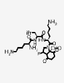 CC(C)C[C@H](NC(=O)[C@@H](N)CCCCN)C(=O)N[C@@H](CCCCN)C(=O)N1CC(F)C2C(=O)CCC(=O)[C@@]21C=O